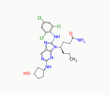 CCC[C@H](CCC(N)=O)n1c(Nc2c(Cl)cc(Cl)cc2Cl)nc2cnc(N[C@H]3CC[C@H](O)C3)nc21